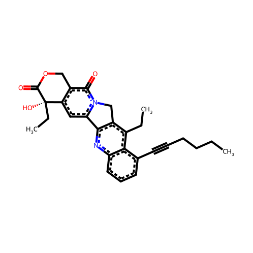 CCCCC#Cc1cccc2nc3c(c(CC)c12)Cn1c-3cc2c(c1=O)COC(=O)[C@]2(O)CC